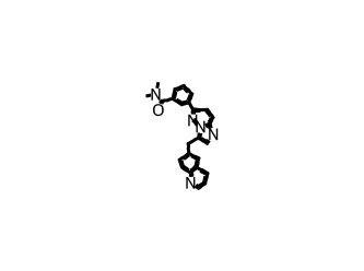 CN(C)C(=O)c1cccc(-c2ccc3ncc(Cc4ccc5ncccc5c4)n3n2)c1